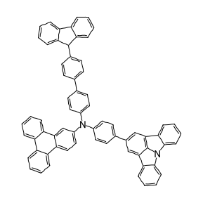 c1ccc2c(c1)-c1ccccc1C2c1ccc(-c2ccc(N(c3ccc(-c4cc5c6ccccc6n6c7ccccc7c(c4)c56)cc3)c3ccc4c5ccccc5c5ccccc5c4c3)cc2)cc1